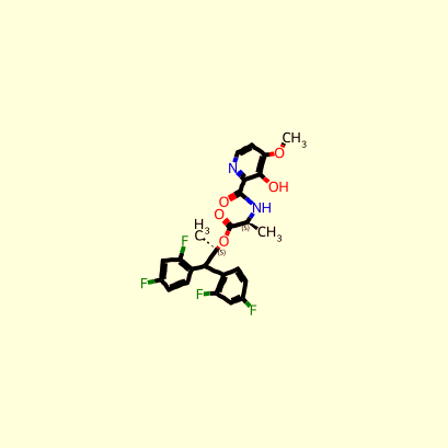 COc1ccnc(C(=O)N[C@@H](C)C(=O)O[C@@H](C)C(c2ccc(F)cc2F)c2ccc(F)cc2F)c1O